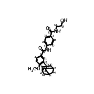 COc1ccc(C(=O)Nc2ccc(C(=O)NCCO)cc2)cc1C12CC3CC(CC(C3)C1)C2